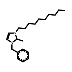 CCCCCCCCCCN1C=CN(Cc2ccccc2)C1C